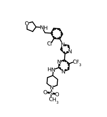 CS(=O)(=O)N1CCC(Nc2ncc(C(F)(F)F)c(-c3cn(-c4cccc(CNC5CCOC5)c4Cl)cn3)n2)CC1